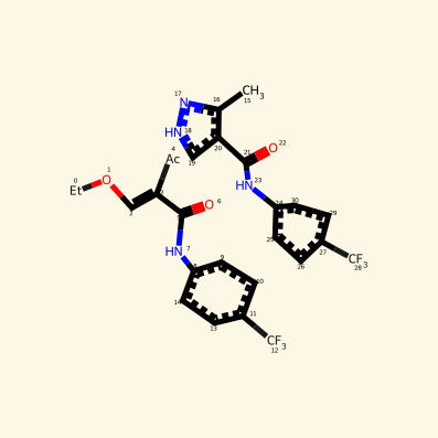 CCOC=C(C(C)=O)C(=O)Nc1ccc(C(F)(F)F)cc1.Cc1n[nH]cc1C(=O)Nc1ccc(C(F)(F)F)cc1